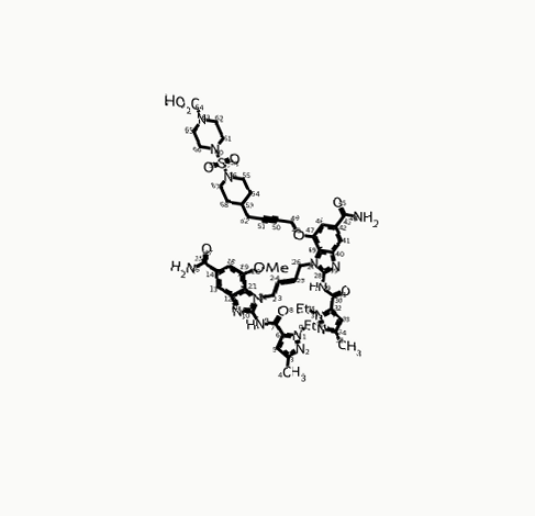 CCn1nc(C)cc1C(=O)Nc1nc2cc(C(N)=O)cc(OC)c2n1CC=CCn1c(NC(=O)c2cc(C)nn2CC)nc2cc(C(N)=O)cc(OCC#CCC3CCN(S(=O)(=O)N4CCN(C(=O)O)CC4)CC3)c21